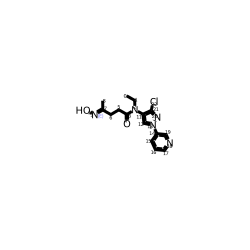 CCN(C(=O)CC/C(C)=N/O)c1cn(-c2cccnc2)nc1Cl